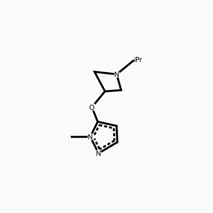 CC(C)N1CC(Oc2ccnn2C)C1